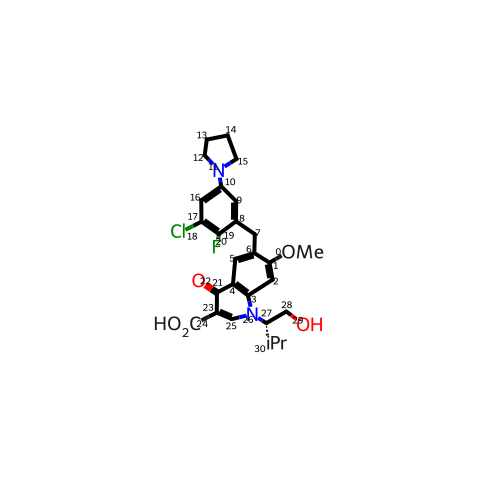 COc1cc2c(cc1Cc1cc(N3CCCC3)cc(Cl)c1F)c(=O)c(C(=O)O)cn2[C@H](CO)C(C)C